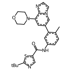 Cc1ccc(NC(=O)c2cnc(C(C)(C)C)s2)cc1-c1cc(N2CCOCC2)c2nccn2c1